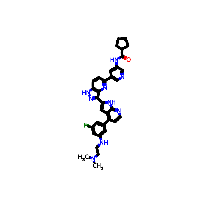 CN(C)CCNc1cc(F)cc(-c2ccnc3[nH]c(-c4n[nH]c5ccc(-c6cncc(NC(=O)C7CCCC7)c6)nc45)cc23)c1